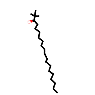 CCCCCCCCCCCCCCCCCC(=O)C(C)(C)C